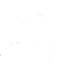 CS(=O)(=O)c1ccc(-c2cc(C(F)(F)F)nn2-c2ccc(CN)c(Cl)c2)cc1